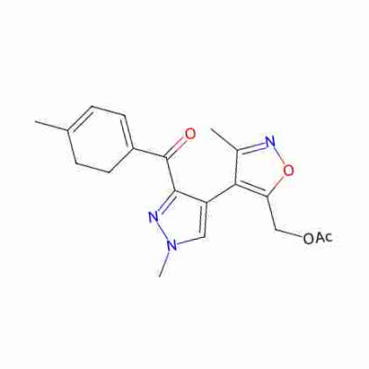 CC(=O)OCc1onc(C)c1-c1cn(C)nc1C(=O)C1=CC=C(C)CC1